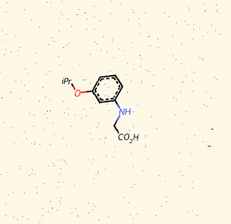 CC(C)Oc1cccc(NCC(=O)O)c1